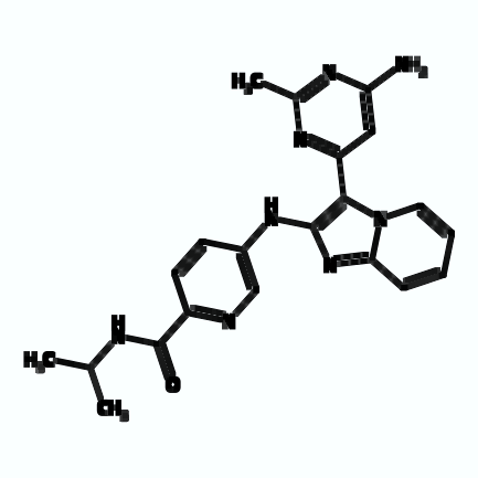 Cc1nc(N)cc(-c2c(Nc3ccc(C(=O)NC(C)C)nc3)nc3ccccn23)n1